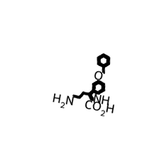 NCCCc1c(C(=O)O)[nH]c2ccc(OCc3ccccc3)cc12